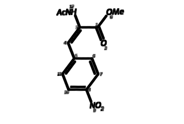 COC(=O)C(=Cc1ccc([N+](=O)[O-])cc1)NC(C)=O